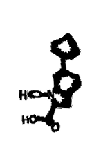 O=C(O)c1cc2ccc(-c3ccccc3)cc2n1O